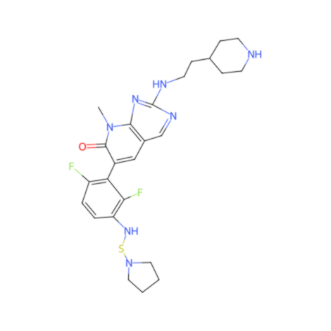 Cn1c(=O)c(-c2c(F)ccc(NSN3CCCC3)c2F)cc2cnc(NCCC3CCNCC3)nc21